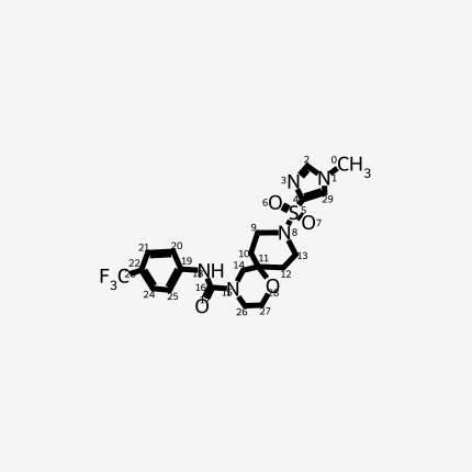 Cn1cnc(S(=O)(=O)N2CCC3(CC2)CN(C(=O)Nc2ccc(C(F)(F)F)cc2)CCO3)c1